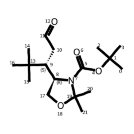 CC(C)(C)OC(=O)N1[C@H]([C@@H](CC=O)C(C)(C)C)COC1(C)C